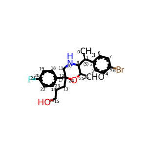 C[C@@H](c1ccc(Br)cc1)C1NCC(CCCO)(c2ccc(F)cc2)OC1C=O